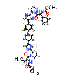 COC(=O)N[C@H](C(=O)N1CCC[C@H]1c1ncc(C2CCN(c3c(F)cc(-c4cnc([C@@H]5CCCN5C(=O)[C@H](NC(=O)OC)c5ccccc5)[nH]4)cc3F)CC2)[nH]1)C(C)C